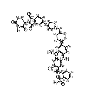 Cc1cc(Nc2ncc(Cl)c(Nc3ccccc3S(=O)(=O)C(C)C)n2)c(OC(C)C)cc1N1CCC(CN2CC3CC2CN3c2ccc3c(c2)C(=O)N(C2CCC(=O)NC2=O)C3=O)CC1